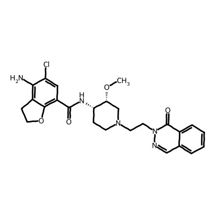 CO[C@@H]1CN(CCn2ncc3ccccc3c2=O)CC[C@@H]1NC(=O)c1cc(Cl)c(N)c2c1OCC2